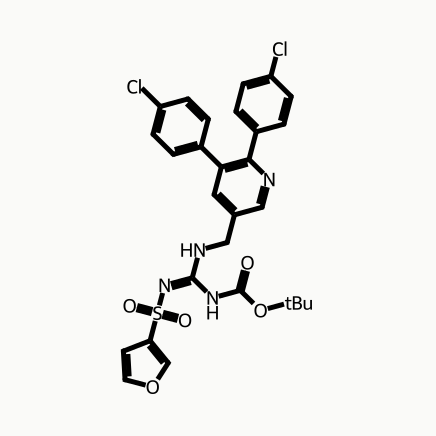 CC(C)(C)OC(=O)N/C(=N\S(=O)(=O)c1ccoc1)NCc1cnc(-c2ccc(Cl)cc2)c(-c2ccc(Cl)cc2)c1